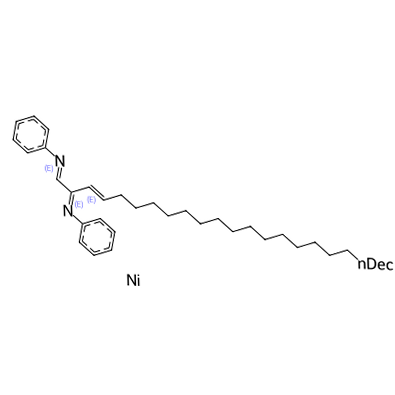 CCCCCCCCCCCCCCCCCCCCCCCCC/C=C/C(/C=N/c1ccccc1)=N\c1ccccc1.[Ni]